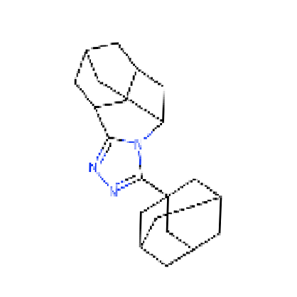 C1C2CC3CC1CC(C2)n1c3nnc1C12CC3CC(CC(C3)C1)C2